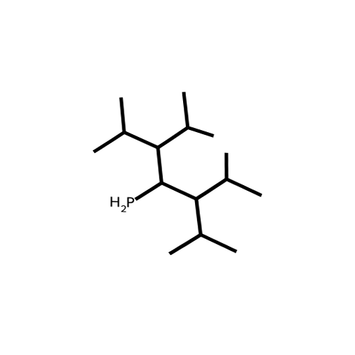 CC(C)C(C(C)C)C(P)C(C(C)C)C(C)C